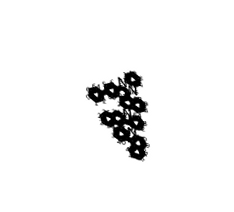 c1ccc(-c2ccc(-c3nc4ccccc4nc3-c3ccc(-n4c5cc6ccccc6cc5c5c(-n6c7ccccc7c7c8ccccc8ccc76)cccc54)c4ccccc34)cc2)cc1